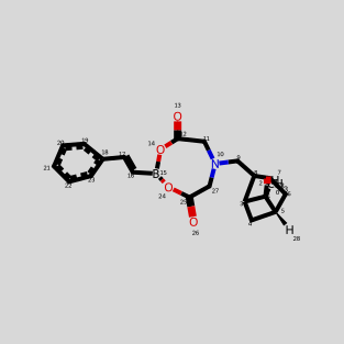 CC1(C)C2C[C@H]1CCC2CN1CC(=O)OB(/C=C/c2ccccc2)OC(=O)C1